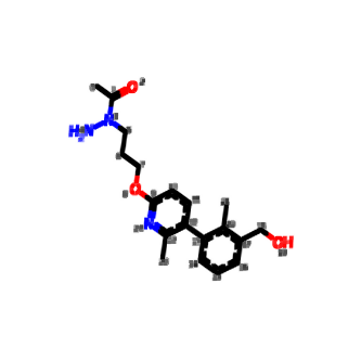 CC(=O)N(N)CCCOc1ccc(-c2cccc(CO)c2C)c(C)n1